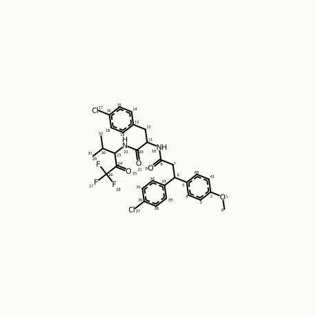 COc1ccc(C(CC(=O)NC(Cc2ccc(Cl)cc2)C(=O)NC(C(=O)C(F)(F)F)C(C)C)c2ccc(Cl)cc2)cc1